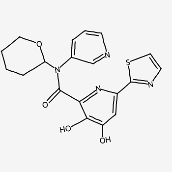 O=C(c1nc(-c2nccs2)cc(O)c1O)N(c1cccnc1)C1CCCCO1